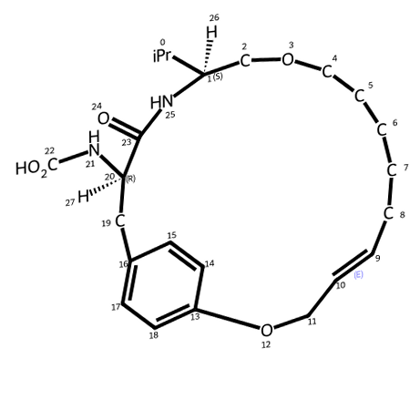 CC(C)[C@H]1COCCCCC/C=C/COc2ccc(cc2)C[C@@H](NC(=O)O)C(=O)N1